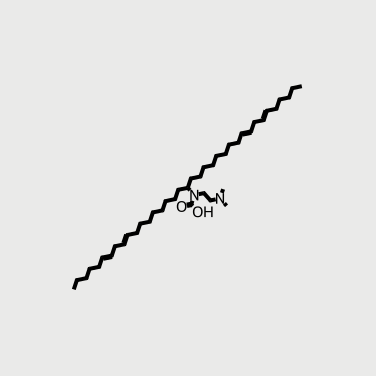 CCCCCC=CCC=CCCCCCCCCC(CCCCCCCCC=CCC=CCCCCC)N(CCN(C)C)C(=O)O